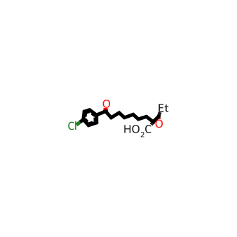 CCC1OC1(CCCCCCC(=O)c1ccc(Cl)cc1)C(=O)O